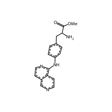 COC(=O)C(N)Cc1ccc(Nc2nccc3cnccc23)cc1